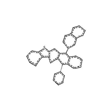 c1ccc(-c2c3ccccc3c(-c3ccc4ccccc4c3)c3cc4sc5ccccc5c4cc23)cc1